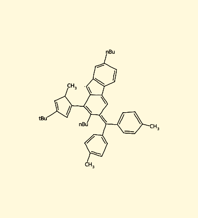 CCCCc1ccc2c(c1)[C]=c1c-2cc(=C(c2ccc(C)cc2)c2ccc(C)cc2)c(CCCC)c1C1=CC(C(C)(C)C)=CC1C